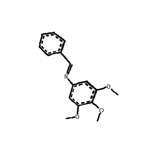 COc1cc(N=Cc2ccccc2)cc(OC)c1OC